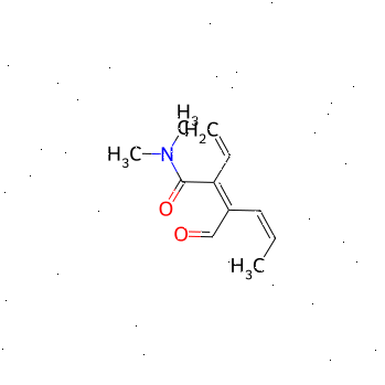 C=C/C(C(=O)N(C)C)=C(C=O)\C=C/C